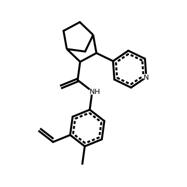 C=Cc1cc(NC(=C)C2C3CCC(C3)C2c2ccncc2)ccc1C